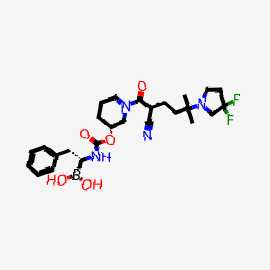 CC(C)(CCC(C#N)C(=O)N1CCC[C@@H](OC(=O)N[C@@H](Cc2ccccc2)B(O)O)C1)N1CCC(F)(F)C1